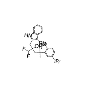 CC(C)c1ccc(O)c(C(C)(C)CC(O)(Cc2[nH]c3ccccc3c2C#N)C(F)F)c1